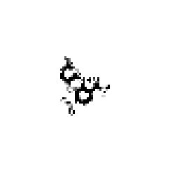 CNC(=O)c1ccc([N+](=O)[O-])cc1Nc1nc(Cl)ncc1Cl